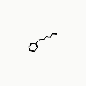 C=CCCCOc1c[c]cnc1